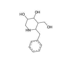 OCC1C(Cc2ccccc2)NCC(O)C1O